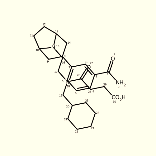 NC(=O)c1cccc(C2CC3CCC(C2)N3CCN(CC2CCCCC2)C(=O)CCC(=O)O)c1